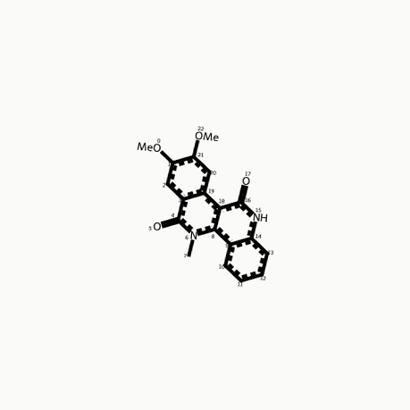 COc1cc2c(=O)n(C)c3c4ccccc4[nH]c(=O)c3c2cc1OC